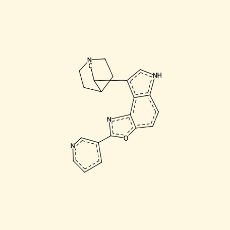 c1cncc(-c2nc3c(ccc4[nH]cc(C5CN6CCC5CC6)c43)o2)c1